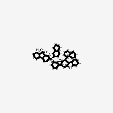 CC1(C)c2ccccc2-c2ccc(N(c3ccc4ccccc4c3)c3cccc4c3oc3c(-c5cccc6ccccc56)c5c(cc34)oc3ccccc35)cc21